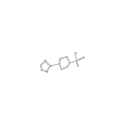 O=S(=O)(Cl)c1ccc(-n2nccn2)cc1